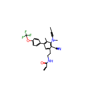 C=CC(=O)NCCc1cc(-c2ccc(OC(F)(F)F)cc2)c(C)c(N(C)C#CC)c1C#N